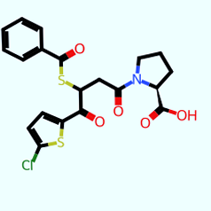 O=C(SC(CC(=O)N1CCC[C@H]1C(=O)O)C(=O)c1ccc(Cl)s1)c1ccccc1